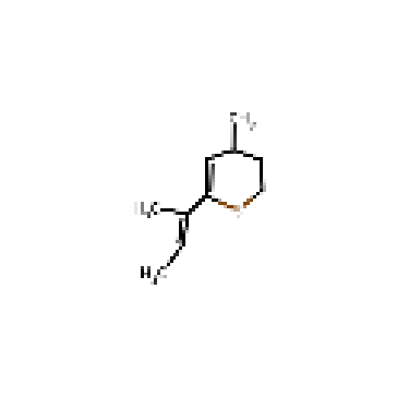 C/C=C(\C)C1=CC(C)CCS1